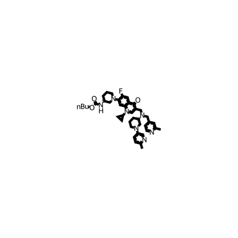 CCCCOC(=O)N[C@@H]1CCCN(c2cc3c(cc2F)c(=O)c(CN(Cc2ccnc(C)c2)[C@H]2CCCN(c4ccc(C)nc4)C2)cn3C2CC2)C1